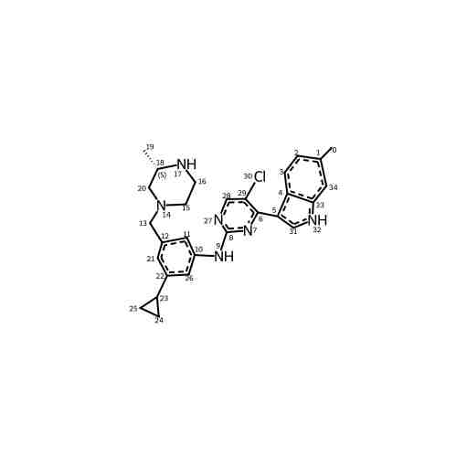 Cc1ccc2c(-c3nc(Nc4cc(CN5CCN[C@@H](C)C5)cc(C5CC5)c4)ncc3Cl)c[nH]c2c1